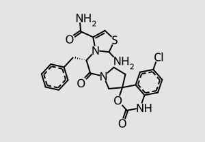 NC(=O)C1=CSC(N)N1[C@@H](Cc1ccccc1)C(=O)N1CCC2(C1)OC(=O)Nc1ccc(Cl)cc12